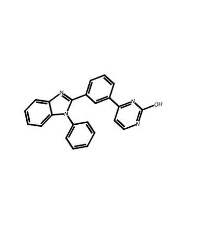 Oc1nccc(-c2cccc(-c3nc4ccccc4n3-c3ccccc3)c2)n1